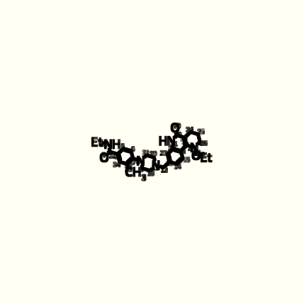 CCNC(=O)c1ccc(N2CCN(Cc3ccc4c5c(c(=O)[nH]c4c3)CCCN5OCC)CC2)c(C)c1